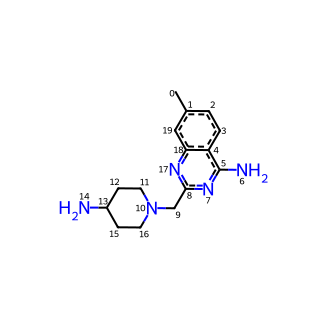 Cc1ccc2c(N)nc(CN3CCC(N)CC3)nc2c1